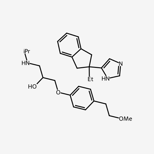 CCC1(c2cnc[nH]2)Cc2ccccc2C1.COCCc1ccc(OCC(O)CNC(C)C)cc1